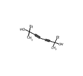 CCC(C)(O)C#CC#CC(C)(O)CC